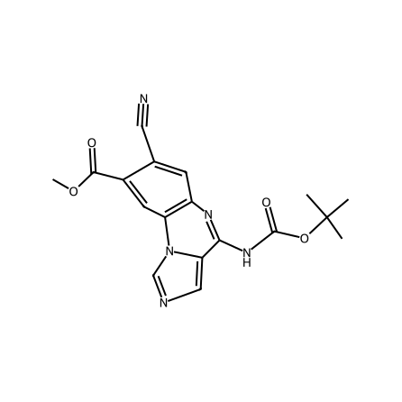 COC(=O)c1cc2c(cc1C#N)nc(NC(=O)OC(C)(C)C)c1cncn12